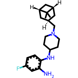 CC1(C)[C@@H]2C[C@H](CN3CCC(Nc4ccc(F)cc4N)CC3)C[C@H]1C2